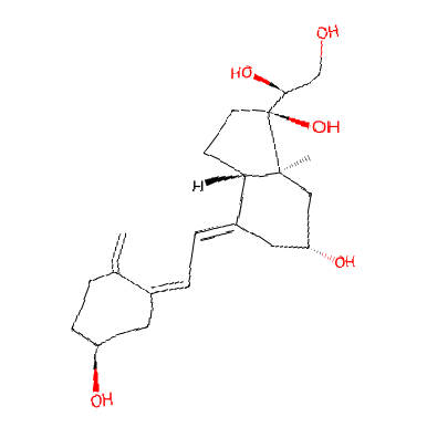 C=C1CC[C@H](O)C/C1=C/C=C1\C[C@@H](O)C[C@@]2(C)[C@H]1CC[C@]2(O)[C@@H](O)CO